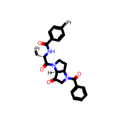 CC(C)C[C@H](NC(=O)c1ccc(C(C)C)cc1)C(=O)N1CCC2[C@H]1C(=O)CN2C(=O)c1ccccc1